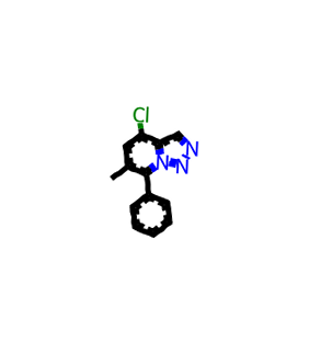 Cc1cc(Cl)c2cnnn2c1-c1ccccc1